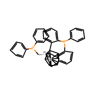 c1ccc(P(C[C@]23[CH]4[CH]5[CH]6[C]2(c2ccccc2P(c2ccccc2)c2ccccc2)[Fe]56432789[CH]3[CH]2[CH]7[CH]8[CH]39)c2ccccc2)cc1